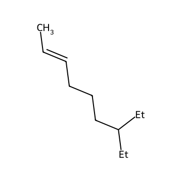 CC=CCCCC(CC)CC